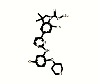 CC(C)(C)OC(=O)N1CC(C)(C)c2cc(-c3ccnc(Nc4cc(Cl)ccc4OC4CCOCC4)n3)cc(C#N)c21